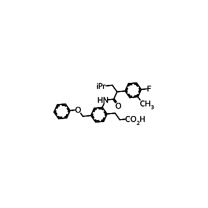 Cc1cc(C(CC(C)C)C(=O)Nc2cc(COc3ccccc3)ccc2CCC(=O)O)ccc1F